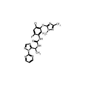 CC(NC(=O)Nc1cc(Oc2nc(C(F)(F)F)nn2C)c(Cl)cc1F)c1ncnn1-c1ncccn1